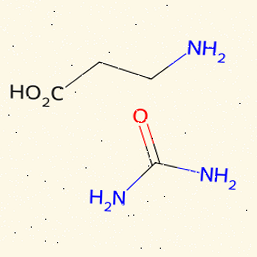 NC(N)=O.NCCC(=O)O